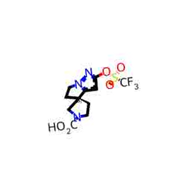 O=C(O)N1CC[C@]2(CCn3nc(OS(=O)(=O)C(F)(F)F)cc32)C1